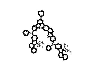 CC1(C)c2ccc(N(c3ccccc3)c3ccc4c(c3)sc3c5cc6c(cc5ccc43)c3cc(-c4ccccc4)cc4c5ccc(N(c7ccccc7)c7ccc8c(c7)-c7ccc9ccccc9c7C8(C)C)cc5n6c43)cc2-c2ccc3ccccc3c21